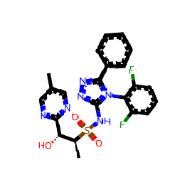 Cc1cnc([C@@H](O)[C@H](C)S(=O)(=O)Nc2nnc(-c3ccccc3)n2-c2c(F)cccc2F)nc1